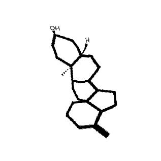 C=C1CCCC23CCC4C(CC[C@H]5C[C@H](O)CC[C@]45C)C2CCC13